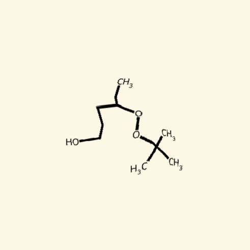 CC(CCO)OOC(C)(C)C